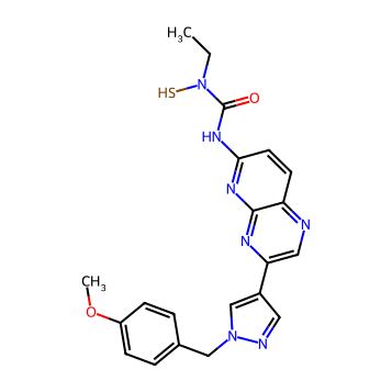 CCN(S)C(=O)Nc1ccc2ncc(-c3cnn(Cc4ccc(OC)cc4)c3)nc2n1